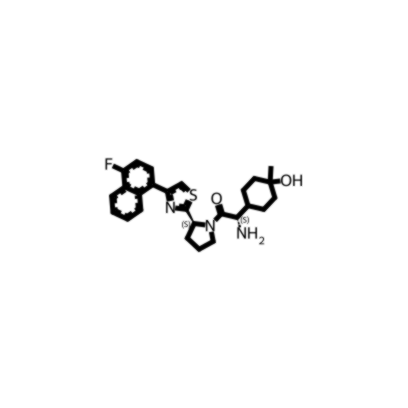 CC1(O)CCC([C@H](N)C(=O)N2CCC[C@H]2c2nc(-c3ccc(F)c4ccccc34)cs2)CC1